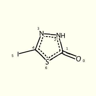 O=c1[nH]nc(I)s1